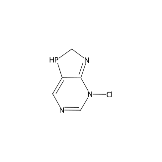 ClN1C=NC=C2PCN=C21